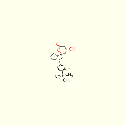 CC(C)(C#N)c1ccc(CCC2(C3CCCC3)CC(O)=CC(=O)O2)cc1F